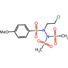 COc1ccc(S(=O)(=O)N(CCCl)N(S(C)(=O)=O)S(C)(=O)=O)cc1